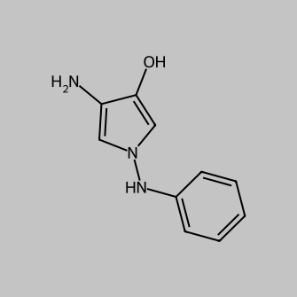 Nc1cn(Nc2ccccc2)cc1O